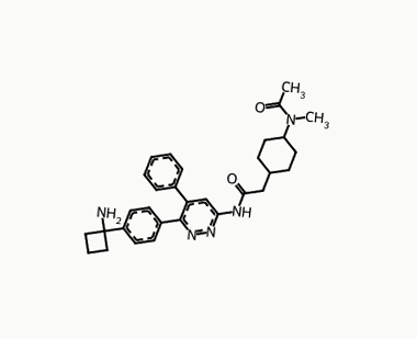 CC(=O)N(C)C1CCC(CC(=O)Nc2cc(-c3ccccc3)c(-c3ccc(C4(N)CCC4)cc3)nn2)CC1